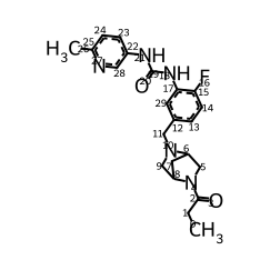 CCC(=O)N1CC2CC1CN2Cc1ccc(F)c(NC(=O)Nc2ccc(C)nc2)c1